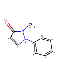 Cn1c(=O)ccn1-c1ccccc1